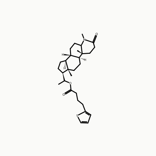 CC(OC(=O)CCCc1cccs1)[C@H]1CC[C@H]2[C@@H]3CCC4N(C)C(=O)CC[C@]4(C)[C@H]3CC[C@]12C